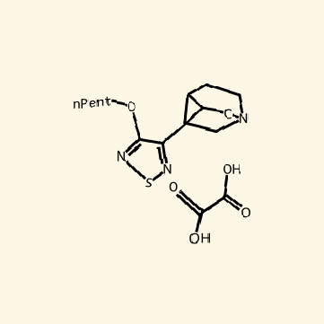 CCCCCOc1nsnc1C1CN2CCC1CC2.O=C(O)C(=O)O